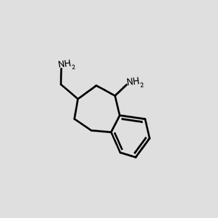 NCC1CCc2ccccc2C(N)C1